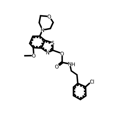 COc1ccc(N2CCOCC2)c2sc(OC(=O)NCCc3ccccc3Cl)nc12